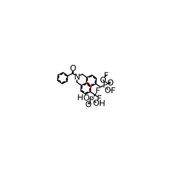 O=C(c1ccccc1)N(Cc1ccc(CP(=O)(OF)OF)cc1)Cc1ccc(C(F)(F)P(=O)(O)O)cc1